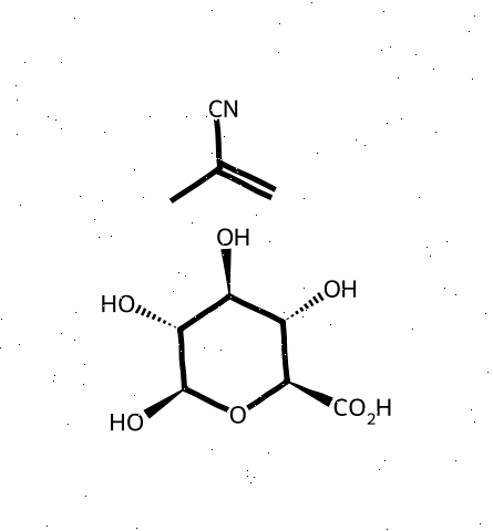 C=C(C)C#N.O=C(O)[C@H]1O[C@@H](O)[C@H](O)[C@@H](O)[C@@H]1O